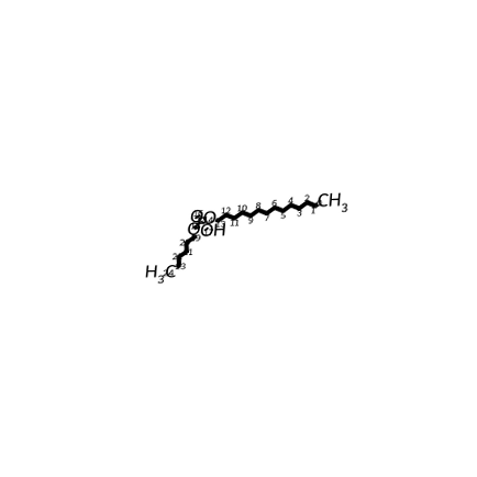 CCCCCCCCCCCCCCOP(=O)(O)OCCCCCC